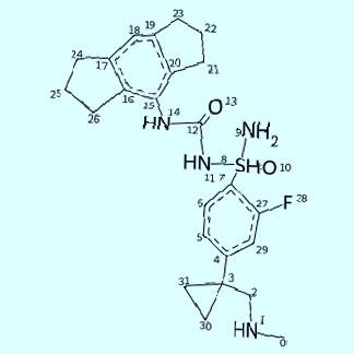 CNCC1(c2ccc([SH](N)(=O)NC(=O)Nc3c4c(cc5c3CCC5)CCC4)c(F)c2)CC1